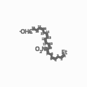 CC/C=C\C/C=C\C\C=C(/C=C\C=C/C=C\C/C=C\CC[C]=O)[N+](=O)[O-]